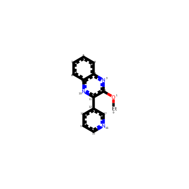 CCOc1nc2ccccc2nc1-c1cccnc1